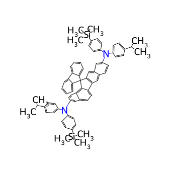 CC(C)c1ccc(N(c2ccc([Si](C)(C)C)cc2)c2ccc3cc4c(cc3c2)C2(c3ccccc3-c3ccccc32)c2c-4ccc3cc(N(c4ccc(C(C)C)cc4)c4ccc([Si](C)(C)C)cc4)ccc23)cc1